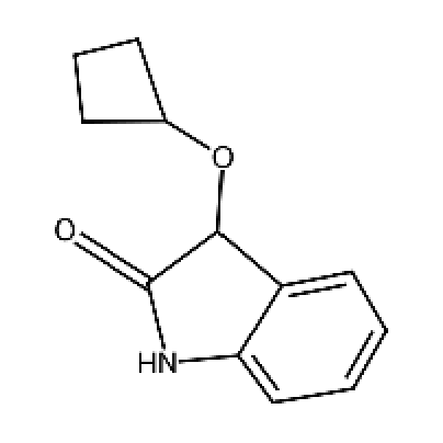 O=C1Nc2ccccc2C1OC1CCC1